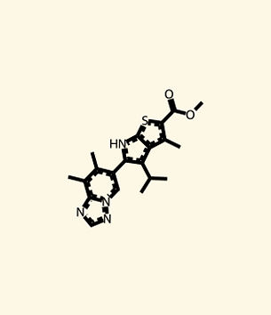 COC(=O)c1sc2[nH]c(-c3cn4ncnc4c(C)c3C)c(C(C)C)c2c1C